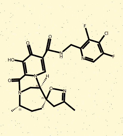 CC1=NO[C@@]2(CC[C@H](C)N3C[C@H]2n2cc(C(=O)NCc4ncc(F)c(Cl)c4F)c(=O)c(O)c2C3=O)C1